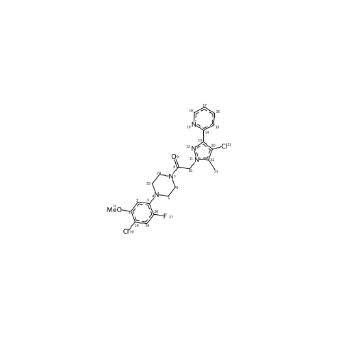 COc1cc(N2CCN(C(=O)Cn3nc(-c4ccccn4)c(Cl)c3C)CC2)c(F)cc1Cl